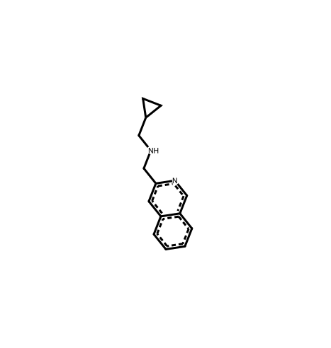 c1ccc2cc(CNCC3CC3)ncc2c1